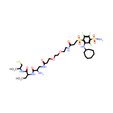 NC(CNC(=O)CCOCCOCCNC(=O)CCS(=O)(=O)c1c(F)c(F)c(S(N)(=O)=O)c(F)c1NC1CCCCCCC1)C(=O)NC(CC(=O)O)C(=O)NC(CS)C(=O)O